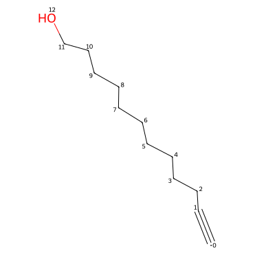 [C]#CCCCCCCCCCCO